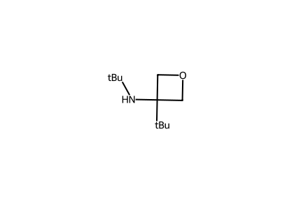 CC(C)(C)NC1(C(C)(C)C)COC1